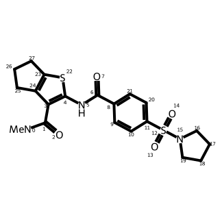 CNC(=O)c1c(NC(=O)c2ccc(S(=O)(=O)N3CCCC3)cc2)sc2c1CCC2